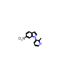 Cc1ncccc1-n1ccc2ccc([N+](=O)[O-])cc21